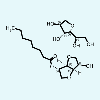 CCCCCCCC(=O)O[C@H]1CO[C@H]2[C@@H]1OC[C@H]2O.OC[C@@H](O)[C@H]1OC[C@H](O)[C@H]1O